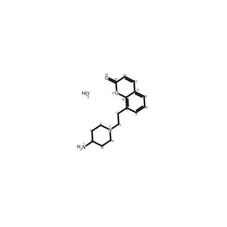 Cl.NC1CCN(CCc2cccc3ccc(=O)oc23)CC1